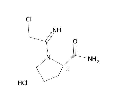 Cl.N=C(CCl)N1CCC[C@H]1C(N)=O